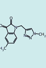 [CH2]n1cc(CN2C(=O)C(=O)c3cc(C)ccc32)nn1